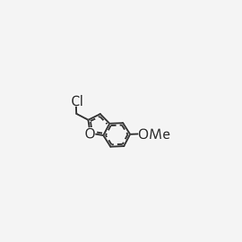 COc1ccc2oc(CCl)cc2c1